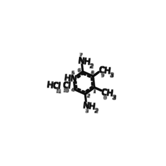 Cc1c(N)cnc(N)c1C.Cl.Cl